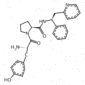 N[C@@H](Cc1ccc(O)cc1)C(=O)N1CCC[C@H]1C(=O)N[C@@H](Cc1ccccn1)c1ccccc1